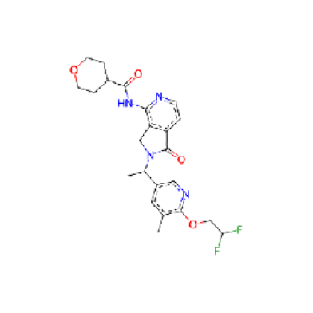 Cc1cc(C(C)N2Cc3c(ccnc3NC(=O)C3CCOCC3)C2=O)cnc1OCC(F)F